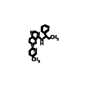 CCC(Nc1ncnc2c1CN(c1ccc(C)cn1)CC2)c1ccccc1